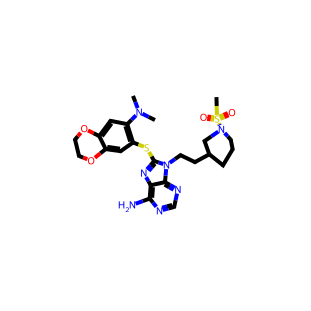 CN(C)c1cc2c(cc1Sc1nc3c(N)ncnc3n1CCC1CCCN(S(C)(=O)=O)C1)OCCO2